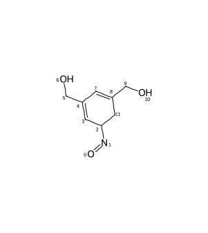 O=NC1C=C(CO)C=C(CO)C1